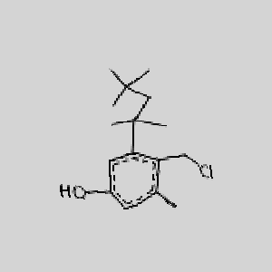 Cc1cc(O)cc(C(C)(C)CC(C)(C)C)c1CCl